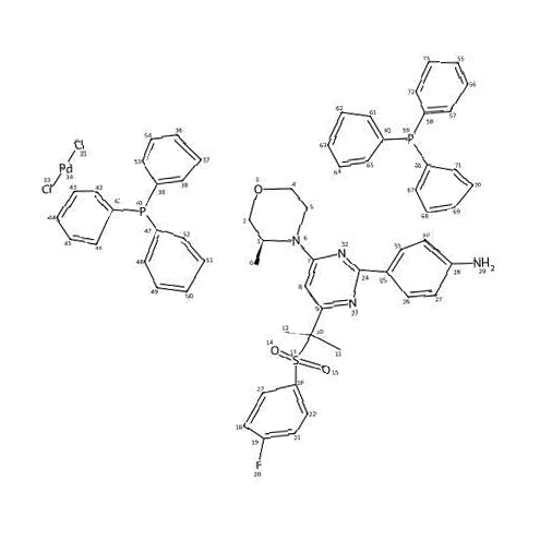 C[C@H]1COCCN1c1cc(C(C)(C)S(=O)(=O)c2ccc(F)cc2)nc(-c2ccc(N)cc2)n1.[Cl][Pd][Cl].c1ccc(P(c2ccccc2)c2ccccc2)cc1.c1ccc(P(c2ccccc2)c2ccccc2)cc1